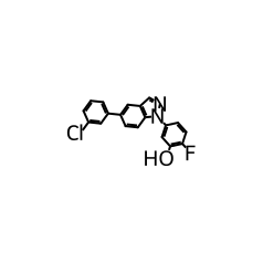 Oc1cc(-n2ncc3cc(-c4cccc(Cl)c4)ccc32)ccc1F